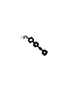 CCCC1CCC(c2ccc(C#Cc3ccccc3)cc2)CC1